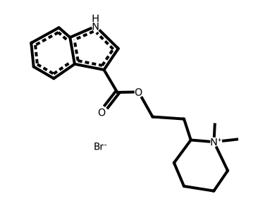 C[N+]1(C)CCCCC1CCOC(=O)c1c[nH]c2ccccc12.[Br-]